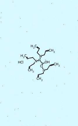 C=CCN(CC=C)OP(O)N(N(CC=C)CC=C)N(CC=C)CC=C.Cl